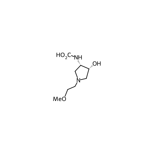 COCCN1C[C@@H](O)[C@@H](NC(=O)O)C1